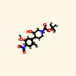 COc1cc(C2CCN(C(=O)OC(C)(C)C)CC2O)c(C)cc1[N+](=O)[O-]